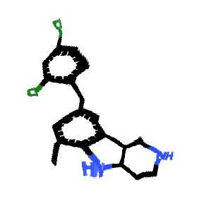 Cc1cc(-c2ccc(Cl)cc2Cl)cc2c1NC1CCNCC21